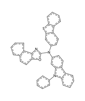 c1ccc(-n2c3ccccc3c3ccc(N(c4ccc5c(c4)sc4ccccc45)c4nc5c(ccc6ccccc65)o4)cc32)cc1